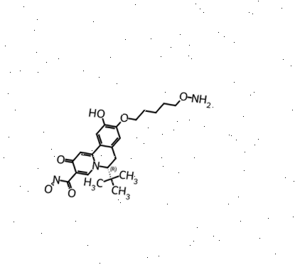 CC(C)(C)[C@H]1Cc2cc(OCCCCCON)c(O)cc2-c2cc(=O)c(C(=O)N=O)cn21